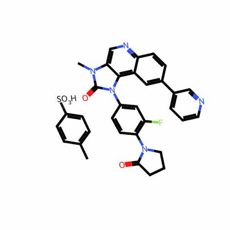 Cc1ccc(S(=O)(=O)O)cc1.Cn1c(=O)n(-c2ccc(N3CCCC3=O)c(F)c2)c2c3cc(-c4cccnc4)ccc3ncc21